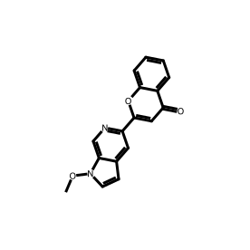 COn1ccc2cc(-c3cc(=O)c4ccccc4o3)ncc21